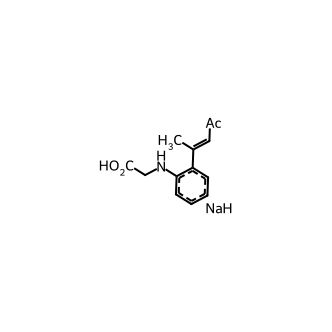 CC(=O)/C=C(\C)c1ccccc1NCC(=O)O.[NaH]